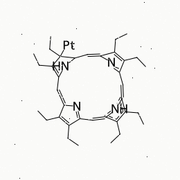 CCC1=C(CC)C2=NC1=CC1=C(CC)[C]([Pt])(CC)C(C=C3N=C(C=c4[nH]c(c(CC)c4CC)=C2)C(CC)=C3CC)N1